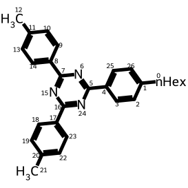 CCCCCCc1ccc(-c2nc(-c3ccc(C)cc3)nc(-c3ccc(C)cc3)n2)cc1